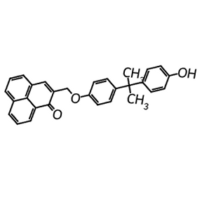 CC(C)(c1ccc(O)cc1)c1ccc(OCC2=Cc3cccc4cccc(c34)C2=O)cc1